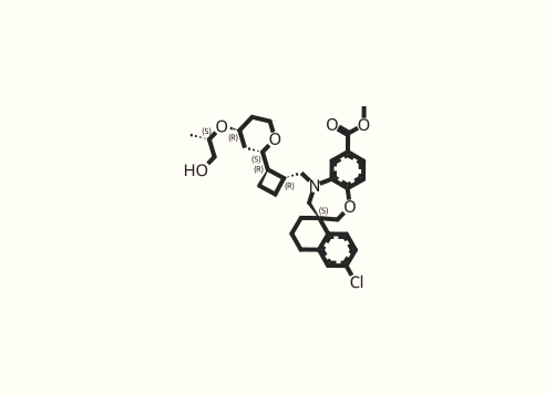 COC(=O)c1ccc2c(c1)N(C[C@@H]1CC[C@H]1[C@@H]1C[C@H](O[C@@H](C)CO)CCO1)C[C@@]1(CCCc3cc(Cl)ccc31)CO2